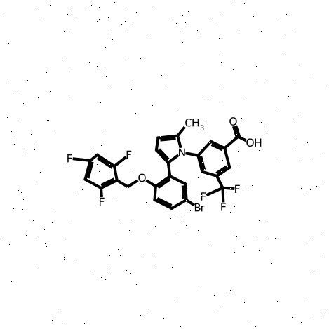 Cc1ccc(-c2cc(Br)ccc2OCc2c(F)cc(F)cc2F)n1-c1cc(C(=O)O)cc(C(F)(F)F)c1